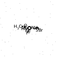 CCOC(=O)Nc1ccc(NCc2ccc(Br)s2)cc1C(F)(F)F